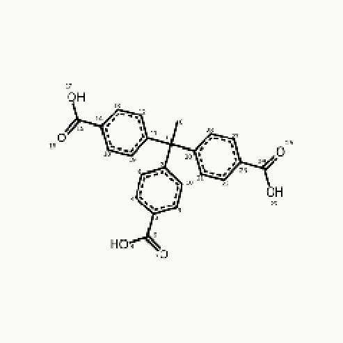 CC(c1ccc(C(=O)O)cc1)(c1ccc(C(=O)O)cc1)c1ccc(C(=O)O)cc1